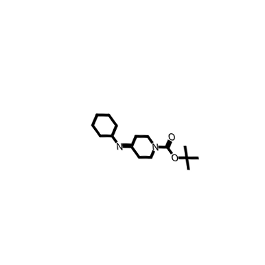 CC(C)(C)OC(=O)N1CCC(=NC2CCCCC2)CC1